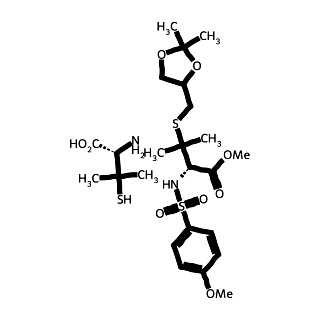 CC(C)(S)[C@@H](N)C(=O)O.COC(=O)[C@H](NS(=O)(=O)c1ccc(OC)cc1)C(C)(C)SCC1COC(C)(C)O1